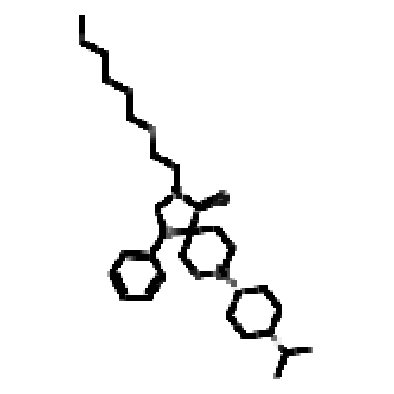 CCCCCCCCCN1CN(c2ccccc2)C2(CCN([C@H]3CC[C@@H](C(C)C)CC3)CC2)C1=O